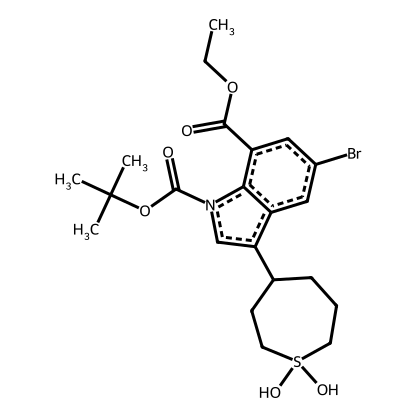 CCOC(=O)c1cc(Br)cc2c(C3CCCS(O)(O)CC3)cn(C(=O)OC(C)(C)C)c12